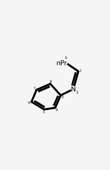 CCC/C=N\c1ccccc1